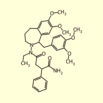 CCN(C(=O)CC(C(N)=O)c1ccccc1)N1CCCc2cc(OC)c(OC)cc2C1Cc1ccc(OC)c(OC)c1